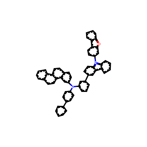 c1ccc(-c2ccc(N(c3cccc(-c4ccc5c(c4)c4ccccc4n5-c4ccc5c(c4)oc4ccccc45)c3)c3ccc4ccc5c6ccccc6ccc5c4c3)cc2)cc1